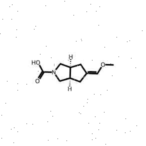 CO/C=C1\C[C@@H]2CN(C(=O)O)C[C@@H]2C1